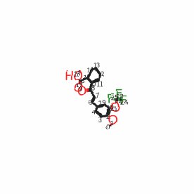 COc1ccc(/C=C/C(=O)c2ccccc2C(=O)O)cc1OC(F)(F)F